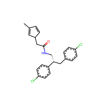 CC1=CC(CC(=O)NC[C@H](Cc2ccc(Cl)cc2)c2ccc(Cl)cc2)C=C1